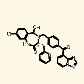 O=C(c1ccc(CN2C(O)c3ccc(Cl)cc3NC(=O)[C@H]2Cc2ccccn2)cc1)c1cccn2ncnc12